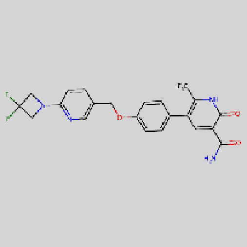 NC(=O)c1cc(-c2ccc(OCc3ccc(N4CC(F)(F)C4)nc3)cc2)c(C(F)(F)F)[nH]c1=O